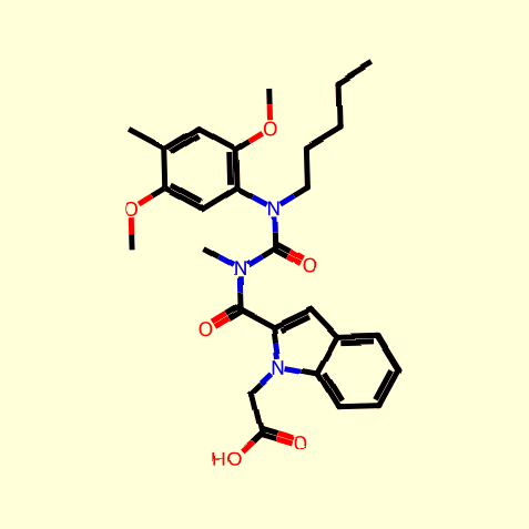 CCCCCN(C(=O)N(C)C(=O)c1cc2ccccc2n1CC(=O)O)c1cc(OC)c(C)cc1OC